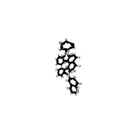 c1ccc(-n2c3ccccc3c3c4c(ccc32)ccc2c4c3ccccc3n2-c2ccc3ncccc3c2)cc1